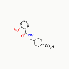 O=C(NCC1CCC(C(=O)O)CC1)c1ccccc1O